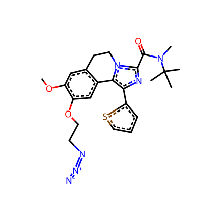 COc1cc2c(cc1OCCN=[N+]=[N-])-c1c(-c3cccs3)nc(C(=O)N(C)C(C)(C)C)n1CC2